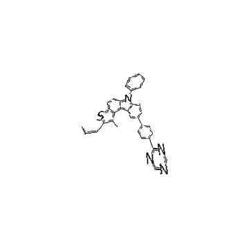 C/C=C\c1sc2ccc3c(c4cc(-c5ccc(-c6ncncn6)cc5)ccc4n3-c3ccccc3)c2c1C